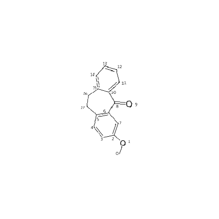 COc1ccc2c(c1)C(=O)c1ccccc1CC2